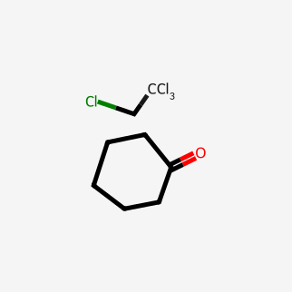 ClCC(Cl)(Cl)Cl.O=C1CCCCC1